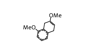 COC1=CCc2cccc(OC)c2C1